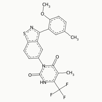 COc1ccc(C)cc1-c1nsc2ccc(-n3c(=O)[nH]c(C(F)(F)F)c(C)c3=O)cc12